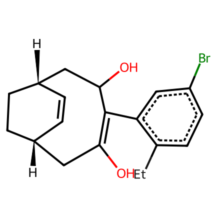 CCc1ccc(Br)cc1/C1=C(\O)C[C@H]2C=C[C@H](CC2)CC1O